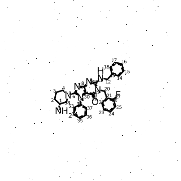 NC1CCCN(c2nc3nc(NCc4ccccc4)n(Cc4ccccc4F)c(=O)c3n2-c2ccccc2)C1